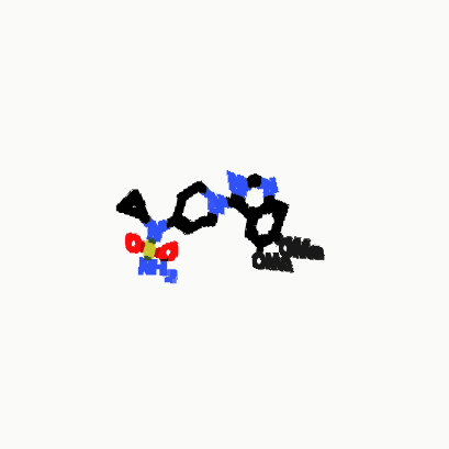 COc1cc2ncnc(N3CCC(N(C4CC4)S(N)(=O)=O)CC3)c2cc1OC